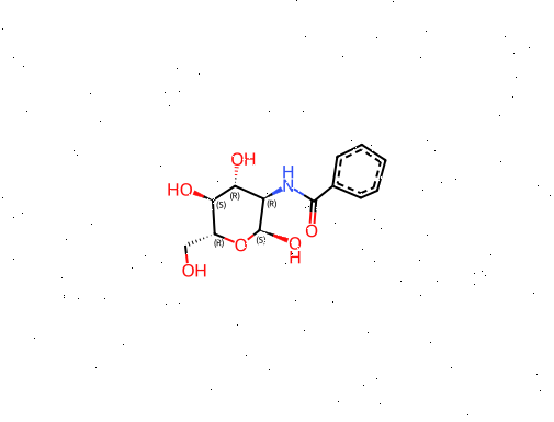 O=C(N[C@@H]1[C@@H](O)[C@H](O)[C@@H](CO)O[C@@H]1O)c1ccccc1